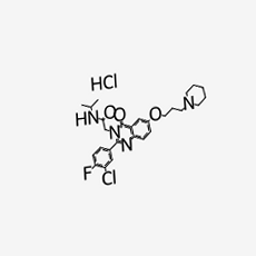 CC(C)NC(=O)Cn1c(-c2ccc(F)c(Cl)c2)nc2ccc(OCCCN3CCCCC3)cc2c1=O.Cl